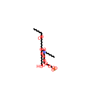 CCCCCC/C=C\COC(=O)CCCCCCCOC(COCCCCCCCC(=O)O)C(=O)N(CCCCCCCC)CCOCCOCCOCCOCCOS(C)(=O)=O